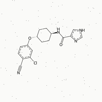 N#Cc1ccc(O[C@H]2CC[C@H](NC(=O)c3c[nH]cn3)CC2)cc1Cl